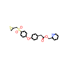 O=C(Cc1ccc(Oc2ccc(S(=O)(=O)CC3CS3)cc2)cc1)OCc1ccccn1